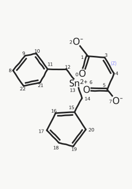 O=C([O-])/C=C\C(=O)[O-].c1ccc([CH2][Sn+2][CH2]c2ccccc2)cc1